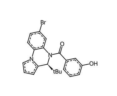 CC(C)(C)[C@H]1c2cccn2-c2ccc(Br)cc2N1C(=O)c1cccc(O)c1